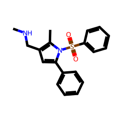 CNCc1cc(-c2ccccc2)n(S(=O)(=O)c2ccccc2)c1C